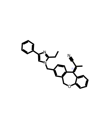 CCc1nc(-c2ccccc2)cn1Cc1ccc2c(c1)COc1ccccc1/C2=C(\C)C#N